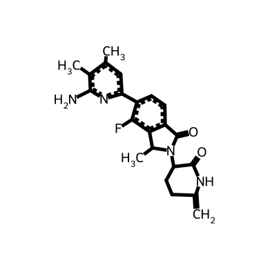 C=C1CCC(N2C(=O)c3ccc(-c4cc(C)c(C)c(N)n4)c(F)c3C2C)C(=O)N1